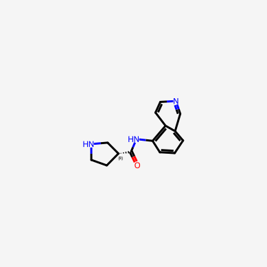 O=C(Nc1cccc2cnccc12)[C@@H]1CCNC1